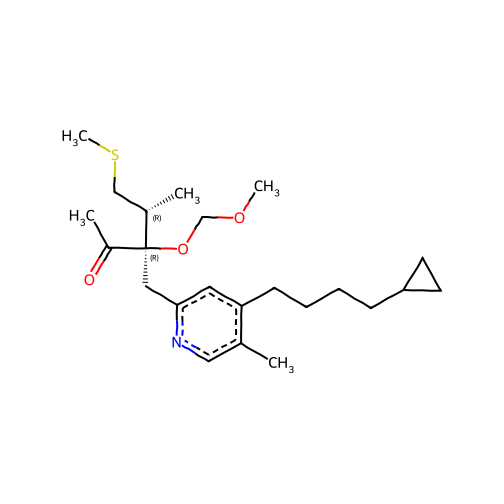 COCO[C@@](Cc1cc(CCCCC2CC2)c(C)cn1)(C(C)=O)[C@@H](C)CSC